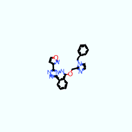 c1ccc(Cn2ccnc2COc2nn3c(-c4ccon4)nnc3c3ccccc23)cc1